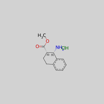 COC(=O)[C@H]1CCc2ccccc2[C@H]1N.Cl